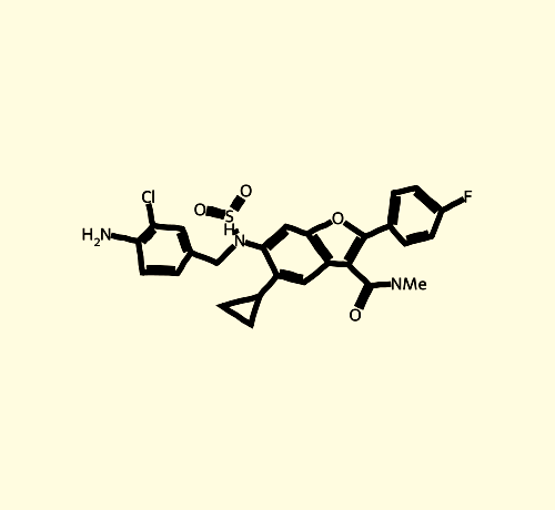 CNC(=O)c1c(-c2ccc(F)cc2)oc2cc(N(Cc3ccc(N)c(Cl)c3)[SH](=O)=O)c(C3CC3)cc12